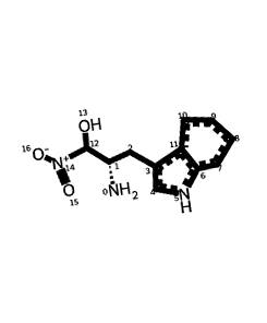 N[C@@H](Cc1c[nH]c2ccccc12)C(O)[N+](=O)[O-]